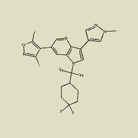 [2H]C([2H])(C1CCC(F)(F)CC1)n1cc(-c2cnn(C)c2)c2ncc(-c3c(C)noc3C)cc21